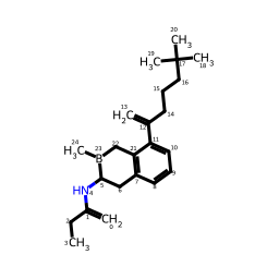 C=C(CC)NC1Cc2cccc(C(=C)CCCC(C)(C)C)c2CB1C